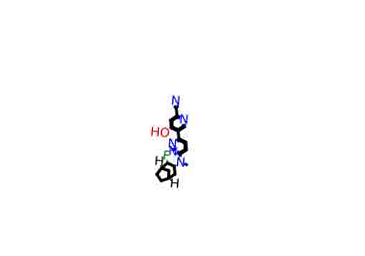 CN(c1ccc(-c2cnc(C#N)cc2O)nn1)[C@@H]1C[C@H]2CC[C@H](C2)[C@@H]1F